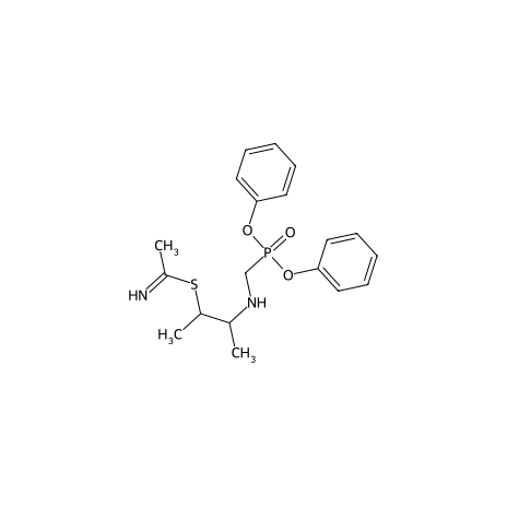 CC(=N)SC(C)C(C)NCP(=O)(Oc1ccccc1)Oc1ccccc1